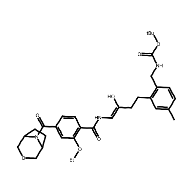 CCOc1cc(C(=O)N2C3CCC2COC3)ccc1C(=O)N/C=C(\O)CCc1cc(C)ccc1CNC(=O)OC(C)(C)C